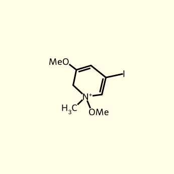 COC1=CC(I)=C[N+](C)(OC)C1